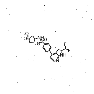 O=S1(=O)CCC(NS(=O)(=O)c2ccc(-c3ccnc4c3CC(C(F)F)N4)cc2)C1